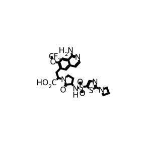 Nc1nccc2cc(CC(C(=O)O)N3CCC(NS(=O)(=O)c4cnc(N5CCC5)s4)C3=O)c(OC(F)(F)F)cc12